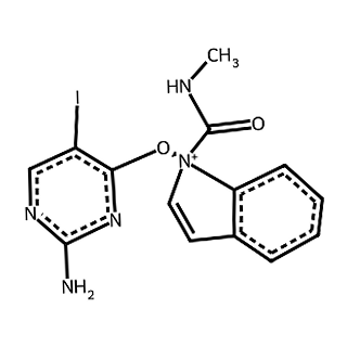 CNC(=O)[N@+]1(Oc2nc(N)ncc2I)C=Cc2ccccc21